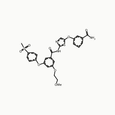 COCCOc1cc(Oc2ccc(S(C)(=O)=O)cc2)cc(C(=O)Nc2ncc(Oc3cccc(C(N)=O)c3)s2)c1